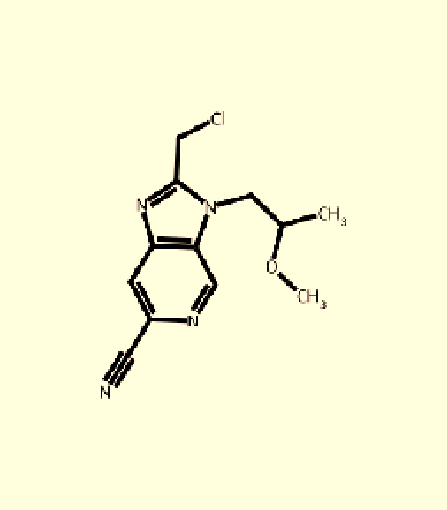 COC(C)Cn1c(CCl)nc2cc(C#N)ncc21